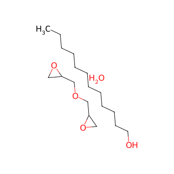 C(OCC1CO1)C1CO1.CCCCCCCCCCCCO.O